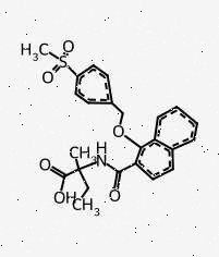 CCC(C)(NC(=O)c1ccc2ccccc2c1OCc1ccc(S(C)(=O)=O)cc1)C(=O)O